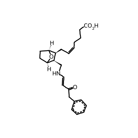 O=C(O)CCC/C=C\C[C@H]1[C@@H](CNC=CC(=O)Cc2ccccc2)[C@H]2CC[C@@H]1O2